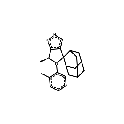 Cc1ccccc1N1[C@@H](C)c2sncc2C12C1CC3CC(C1)CC2C3